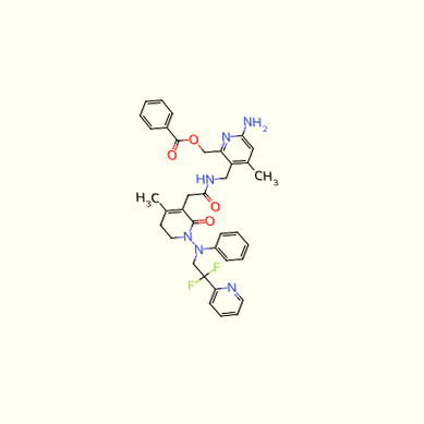 CC1=C(CC(=O)NCc2c(C)cc(N)nc2COC(=O)c2ccccc2)C(=O)N(N(CC(F)(F)c2ccccn2)c2ccccc2)CC1